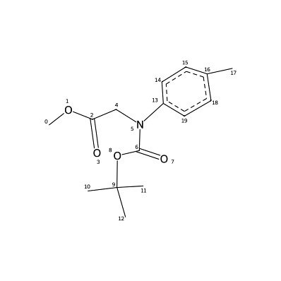 COC(=O)CN(C(=O)OC(C)(C)C)c1ccc(C)cc1